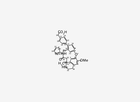 COc1cc2c(cc1Oc1ccc(-c3ccc(CC(=O)O)cc3)c(F)c1)[C@@](C)(CC(=O)Nc1nccs1)NCC2